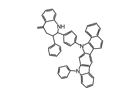 C=C1CC(c2ccccc2)C(c2ccc(-n3c4cc5c(cc4c4ccc6ccccc6c43)c3ccccc3n5-c3ccccc3)cc2)Nc2ccccc21